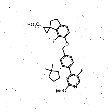 COc1cc(-c2ccc(COc3ccc4c(c3F)[C@@]3(CC4)C[C@@H]3C(=O)O)cc2[C@@H]2CCCC2(C)C)c(F)cn1